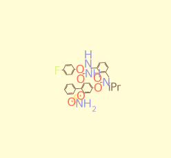 CC(C)N(Cc1cccc(C(=N)NC(=O)Oc2ccc(F)cc2)c1)C(=O)Oc1ccc(-c2ccccc2S(N)(=O)=O)cc1